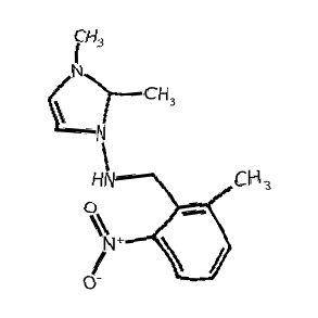 Cc1cccc([N+](=O)[O-])c1CNN1C=CN(C)C1C